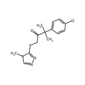 Cn1cnnc1SCC(=O)C(C)(C)c1ccc(Cl)cc1